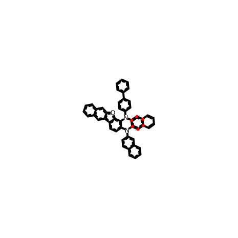 C1=CC2C=CC(N(c3ccc(-c4ccccc4)cc3)c3c(N(c4ccccc4)c4ccc5ccccc5c4)ccc4c3oc3cc5ccccc5cc34)=CC2C=C1